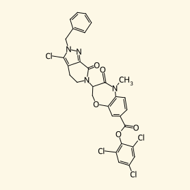 CN1C(=O)C(N2CCc3c(nn(Cc4ccccc4)c3Cl)C2=O)COc2cc(C(=O)Oc3c(Cl)cc(Cl)cc3Cl)ccc21